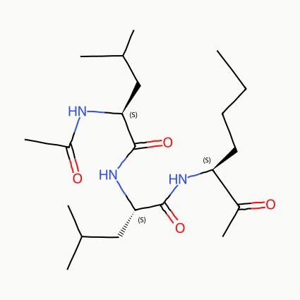 CCCC[C@H](NC(=O)[C@H](CC(C)C)NC(=O)[C@H](CC(C)C)NC(C)=O)C(C)=O